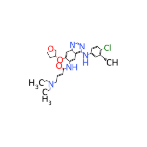 C#Cc1cc(Nc2ncnc3cc(OC4CCOC4)c(NC(=O)C=CCN(CC)CC)cc23)ccc1Cl